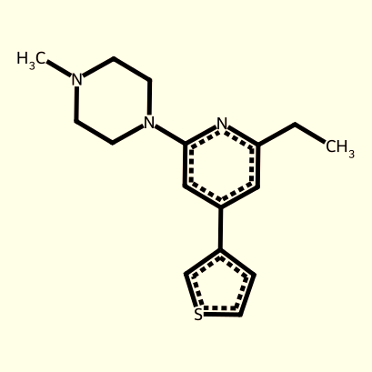 CCc1cc(-c2ccsc2)cc(N2CCN(C)CC2)n1